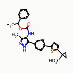 Cc1n[nH]c(-c2ccc(-c3ccc(C4(C(=O)O)CC4)s3)cc2)c1NC(=O)OC(C)c1ccccc1